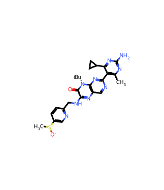 CC[C@@H](C)n1c(=O)c(NCc2ccc([S+](C)[O-])cn2)nc2cnc(-c3c(C)nc(N)nc3C3CC3)nc21